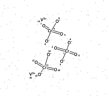 [O]=[Cr](=[O])([O-])[O-].[O]=[Cr](=[O])([O-])[O-].[O]=[Cr](=[O])([O-])[O-].[V+3].[V+3]